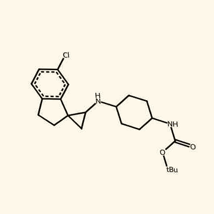 CC(C)(C)OC(=O)NC1CCC(NC2CC23CCc2ccc(Cl)cc23)CC1